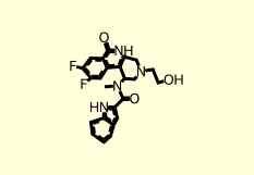 CN(C(=O)c1cc2ccccc2[nH]1)C1CN(CCO)Cc2[nH]c(=O)c3cc(F)c(F)cc3c21